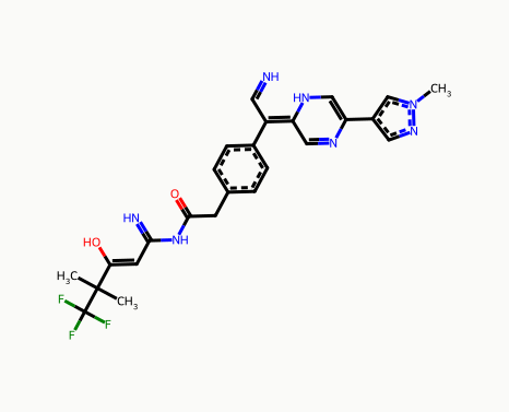 Cn1cc(C2=CN/C(=C(\C=N)c3ccc(CC(=O)NC(=N)/C=C(\O)C(C)(C)C(F)(F)F)cc3)C=N2)cn1